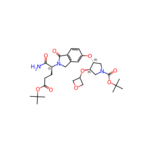 CC(C)(C)OC(=O)CC[C@@H](C(N)=O)N1Cc2cc(O[C@@H]3CN(C(=O)OC(C)(C)C)C[C@H]3OC3COC3)ccc2C1=O